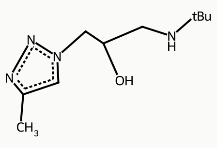 Cc1cn(CC(O)CNC(C)(C)C)nn1